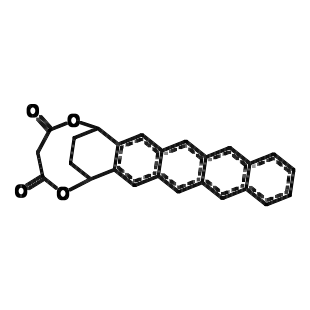 O=C1CC(=O)OC2CCC(O1)c1cc3cc4cc5ccccc5cc4cc3cc12